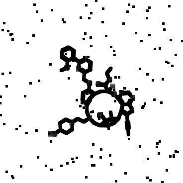 CC#Cc1sc2ncnc3c2c1-c1ccc(c(Cl)c1C)CN(CCN1CCC(O)CC1)Cc1ccc(OCc2ccnc(-c4ccccc4OC)n2)c(c1)C[C@H](C(=O)OCC)O3